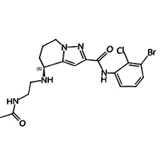 CC(=O)NCCN[C@H]1CCCn2nc(C(=O)Nc3cccc(Br)c3Cl)cc21